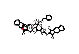 O=C(OCc1ccccc1)C1(C(=O)OCc2ccccc2)Oc2nc(N=c3c(=O)c4cc5ccccc5cc4c3=O)sc2C2=C1NC(N=c1c(=O)c3cc4ccccc4cc3c1=O)S2